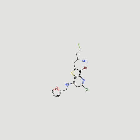 N[C@@H](CCF)Cc1sc2c(NCc3ccco3)cc(Cl)nc2c1Br